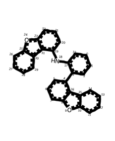 c1ccc(-c2cccc3oc4ccccc4c23)c(Nc2cccc3oc4ccccc4c23)c1